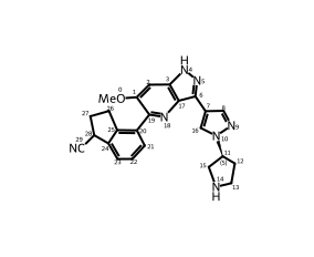 COc1cc2[nH]nc(-c3cnn([C@H]4CCNC4)c3)c2nc1-c1cccc2c1CCC2C#N